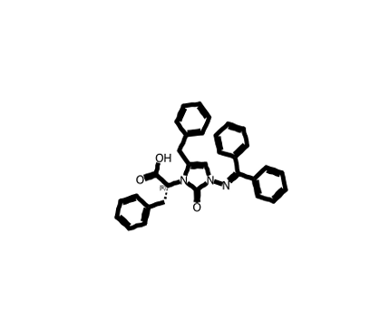 O=C(O)[C@@H](Cc1ccccc1)n1c(Cc2ccccc2)cn(N=C(c2ccccc2)c2ccccc2)c1=O